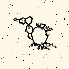 C=C1C/C=C/C(=O)[C@@H]2CC[C@H]2CN2C[C@@]3(CCCc4cc(Cl)ccc43)COc3ccc(cc32)C(=O)NS(=O)(=O)[C@@H]1C